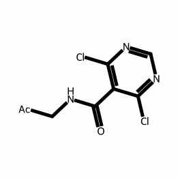 CC(=O)CNC(=O)c1c(Cl)ncnc1Cl